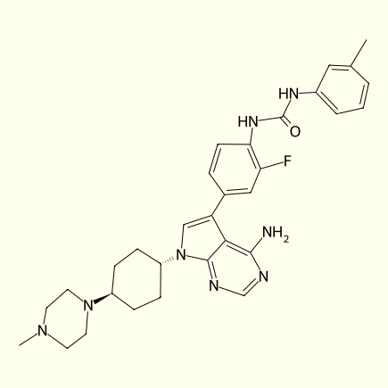 Cc1cccc(NC(=O)Nc2ccc(-c3cn([C@H]4CC[C@H](N5CCN(C)CC5)CC4)c4ncnc(N)c34)cc2F)c1